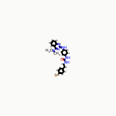 CN(C)c1nc(NC2CCC(NC(=O)NCCc3ccc(Br)cc3)CC2)nc2ccccc12